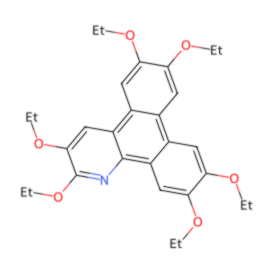 CCOc1cc2c3cc(OCC)c(OCC)cc3c3nc(OCC)c(OCC)cc3c2cc1OCC